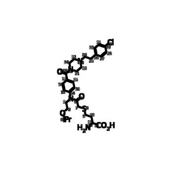 CC(C)OCCN(C(=O)CSCCC(N)C(=O)O)c1ccc(C(=O)N2CCN(CCc3ccc(Cl)cc3)CC2)cc1